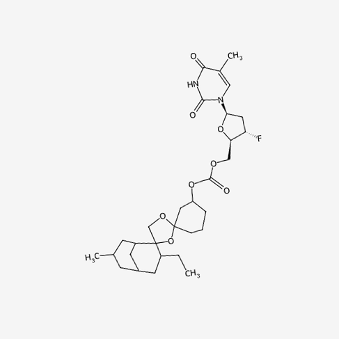 CCC1CC2CC(C)CC(C2)C12COC1(CCCC(OC(=O)OC[C@H]3O[C@@H](n4cc(C)c(=O)[nH]c4=O)C[C@@H]3F)C1)O2